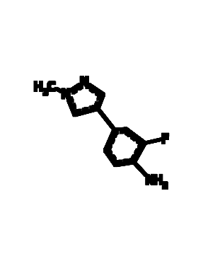 Cn1cc(-c2ccc(N)c(F)c2)cn1